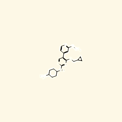 COc1cc(-c2cnc(NC3CCC(C)CC3)nc2OCC2CC2)ccn1